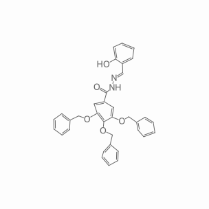 O=C(NN=Cc1ccccc1O)c1cc(OCc2ccccc2)c(OCc2ccccc2)c(OCc2ccccc2)c1